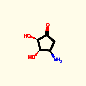 N[C@@H]1CC(=O)[C@@H](O)[C@H]1O